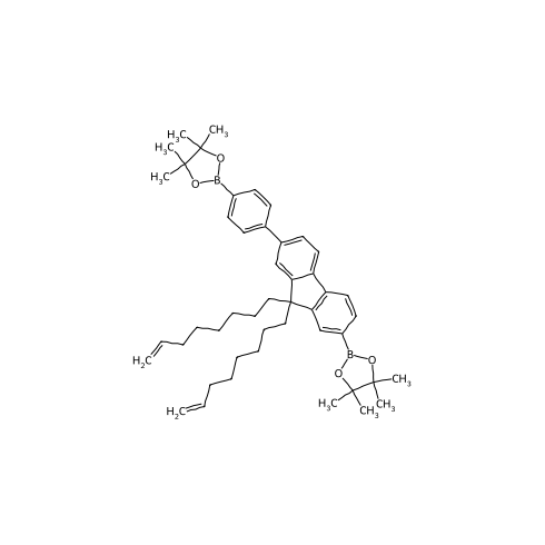 C=CCCCCCCC1(CCCCCCC=C)c2cc(B3OC(C)(C)C(C)(C)O3)ccc2-c2ccc(-c3ccc(B4OC(C)(C)C(C)(C)O4)cc3)cc21